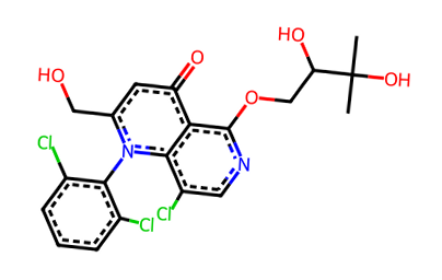 CC(C)(O)C(O)COc1ncc(Cl)c2c1c(=O)cc(CO)n2-c1c(Cl)cccc1Cl